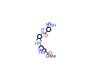 COC(=O)c1cc2cc(NCc3cc(NC(=O)c4ccc5[nH]nnc5c4)ccc3C)cnc2[nH]1